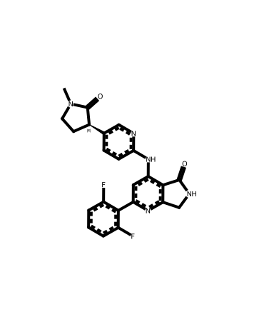 CN1CC[C@H](c2ccc(Nc3cc(-c4c(F)cccc4F)nc4c3C(=O)NC4)nc2)C1=O